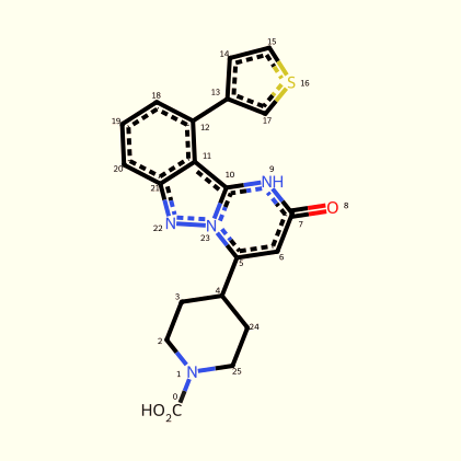 O=C(O)N1CCC(c2cc(=O)[nH]c3c4c(-c5ccsc5)cccc4nn23)CC1